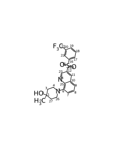 CC1(O)CCN(c2cccc3cc(S(=O)(=O)c4cccc(C(F)(F)F)c4)cnc23)CC1